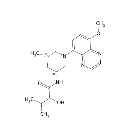 COc1ccc(N2C[C@@H](C)C[C@@H](NC(=O)C(O)C(C)C)C2)c2nccnc12